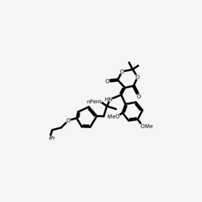 CCCCCC(C)(Cc1ccc(OCCC(C)C)cc1)NC(=C1C(=O)OC(C)(C)OC1=O)c1ccc(OC)cc1OC